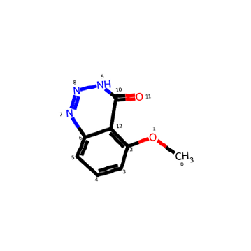 COc1cccc2nn[nH]c(=O)c12